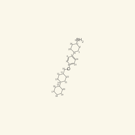 BC1CCC(c2ccc(OCC3CCC(C4CCCCC4)CC3)cc2)CC1